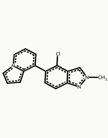 Cn1cc2c(Cl)c(-c3cccn4cccc34)ccc2n1